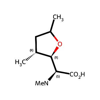 CN[C@H](C(=O)O)[C@@H]1OC(C)C[C@H]1C